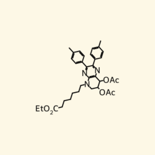 CCOC(=O)CCCCCCN1CC(OC(C)=O)C(OC(C)=O)c2nc(-c3ccc(C)cc3)c(-c3ccc(C)cc3)nc21